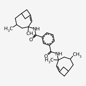 CC1CC2CC(=CC(C)(NC(=O)c3cccc(C(=O)NC4(C)C=C5CC(C5)CC(C)C4)c3)C1)C2